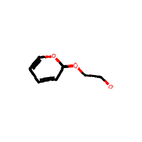 [O]CCOC1C=CC=CO1